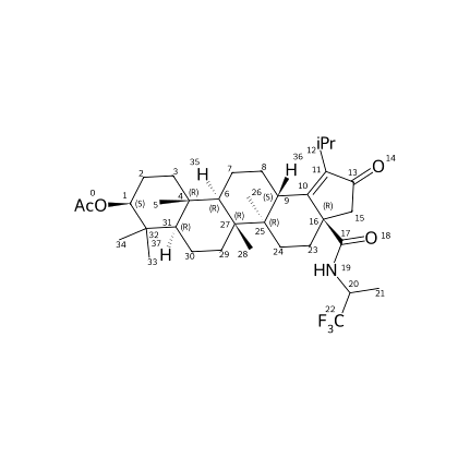 CC(=O)O[C@H]1CC[C@]2(C)[C@H]3CC[C@@H]4C5=C(C(C)C)C(=O)C[C@]5(C(=O)NC(C)C(F)(F)F)CC[C@@]4(C)[C@]3(C)CC[C@H]2C1(C)C